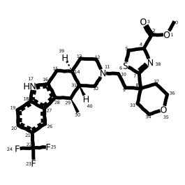 COC(=O)C1CSC(C2(CCN3CC[C@@H]4Cc5[nH]c6ccc(C(F)(F)F)cc6c5[C@H](C)[C@H]4C3)CCOCC2)=N1